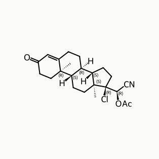 CC(=O)O[C@H](C#N)[C@@]1(Cl)CC[C@H]2[C@@H]3CCC4=CC(=O)CC[C@]4(C)[C@H]3CC[C@@]21C